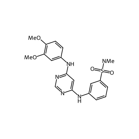 CNS(=O)(=O)c1cccc(Nc2cc(Nc3ccc(OC)c(OC)c3)ncn2)c1